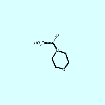 CC[C@@H](C(=O)O)N1CCOCC1